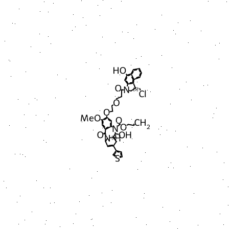 C=CCOC(=O)N1c2cc(OCCOCCC(=O)N3C[C@@H](CCl)c4c3cc(O)c3ccccc43)c(OC)cc2C(=O)N2CC=C(c3ccsc3)C[C@H]2C1O